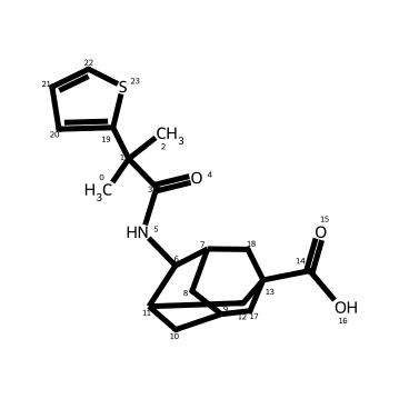 CC(C)(C(=O)NC1C2CC3CC1CC(C(=O)O)(C3)C2)c1cccs1